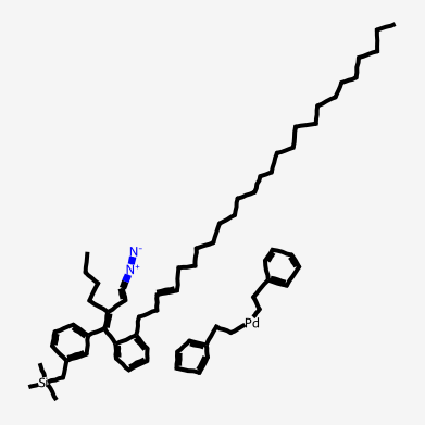 CCCCCCCCCCCCCCCCCCCCCCC=CCCc1ccccc1C(=C(C=C=[N+]=[N-])CCCC)c1cccc(C[Si](C)(C)C)c1.c1ccc(C[CH2][Pd][CH2]Cc2ccccc2)cc1